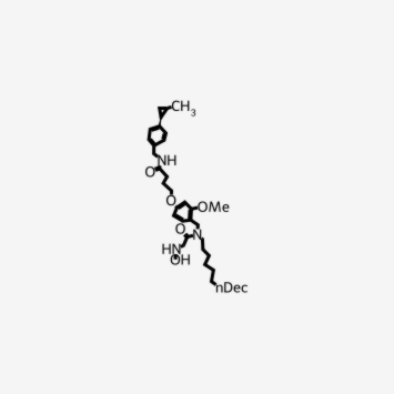 CCCCCCCCCCCCCCCCN(Cc1ccc(OCCCC(=O)NCc2ccc([C@H]3CC3C)cc2)cc1OC)C(=O)CNO